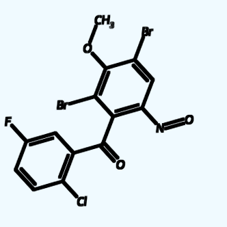 COc1c(Br)cc(N=O)c(C(=O)c2cc(F)ccc2Cl)c1Br